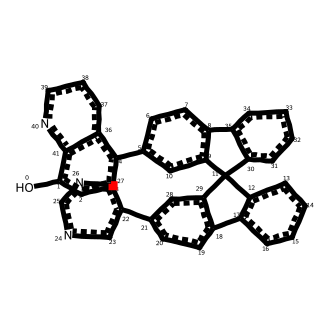 Oc1ccc(-c2ccc3c(c2)C2(c4ccccc4-c4ccc(-c5cncnc5)cc42)c2ccccc2-3)c2cccnc12